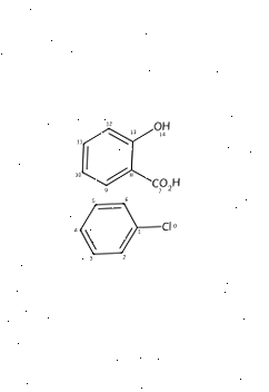 Clc1ccccc1.O=C(O)c1ccccc1O